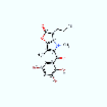 CCCC1C(=O)Oc2c(C)c(C(=O)c3cc(Br)cc(Br)c3Br)n(C)c21